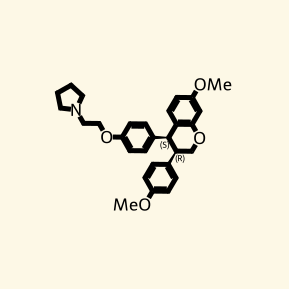 COc1ccc([C@@H]2COc3cc(OC)ccc3[C@@H]2c2ccc(OCCN3CCCC3)cc2)cc1